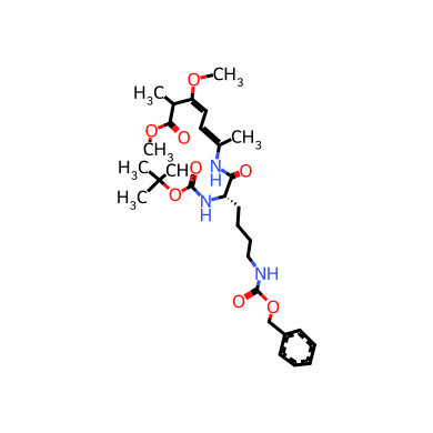 COC(=O)C(C)/C(=C\C=C(/C)NC(=O)[C@H](CCCCNC(=O)OCc1ccccc1)NC(=O)OC(C)(C)C)OC